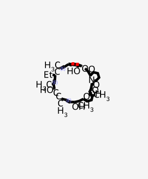 CCC1/C=C(\C)C(O)CCC(C)/C=C/C(O)C(C)C2CCC(C)C(O)(O2)C(=O)C(=O)N2CCCCC2C(=O)OC2C=CC(=CC2O)/C=C(\C)C1